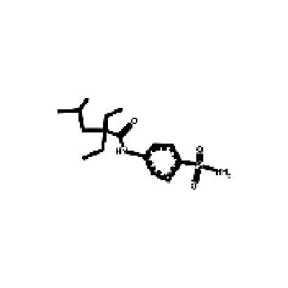 CCC(CC)(CC(C)C)C(=O)Nc1ccc(S(N)(=O)=O)cc1